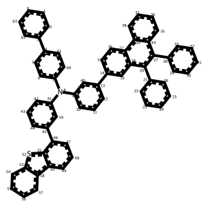 c1ccc(-c2ccc(N(c3cccc(-c4ccc5c(c4)c(-c4ccccc4)c(-c4ccccc4)c4ccccc45)c3)c3cccc(-c4cccc5c4sc4ccccc45)c3)cc2)cc1